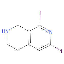 Ic1cc2c(c(I)n1)CNCC2